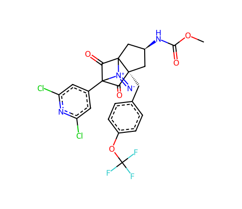 COC(=O)N[C@@H]1CC23C(=O)C(c4cc(Cl)nc(Cl)c4)(C(=O)[C@]2(Cc2ccc(OC(F)(F)F)cc2)C1)[N+]3=[N-]